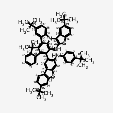 CC(C)(C)c1ccc(Nc2cc3sc4cc(C(C)(C)C)ccc4c3cc2-c2c3c(c4c5cc(C(C)(C)C)ccc5n5c4c2Bc2sc4ccc(C(C)(C)C)cc4c2-5)C(C)(C)c2ccccc2-3)cc1